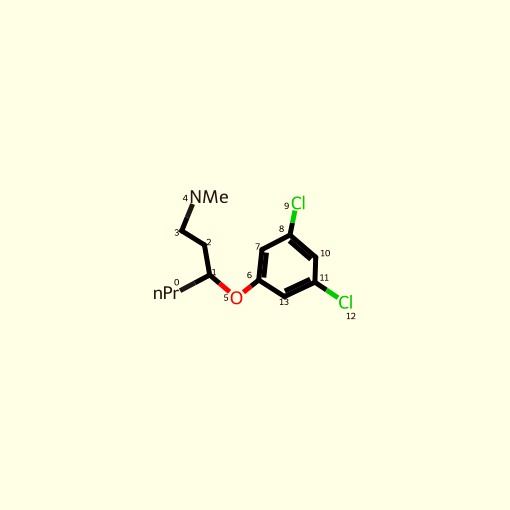 CCCC(CCNC)Oc1cc(Cl)cc(Cl)c1